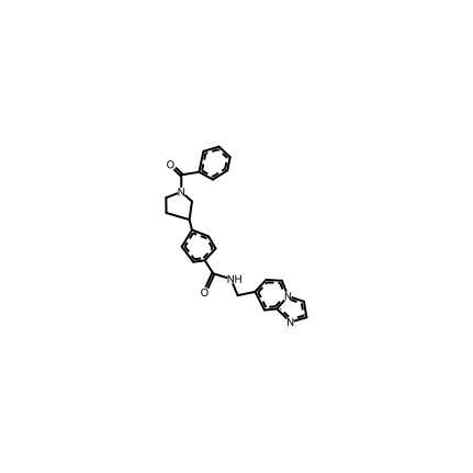 O=C(NCc1ccn2ccnc2c1)c1ccc(C2CCN(C(=O)c3ccccc3)C2)cc1